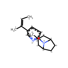 C/C=C(/C)c1ccc(N2C3CCC2CC(C)C3)nc1